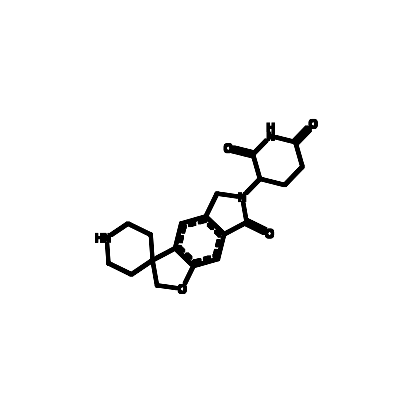 O=C1CCC(N2Cc3cc4c(cc3C2=O)OCC42CCNCC2)C(=O)N1